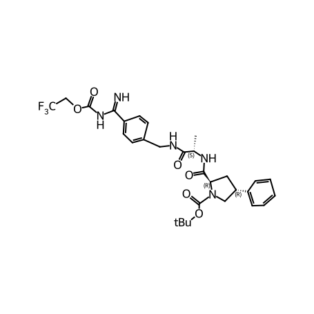 C[C@H](NC(=O)[C@H]1C[C@H](c2ccccc2)CN1C(=O)OC(C)(C)C)C(=O)NCc1ccc(C(=N)NC(=O)OCC(F)(F)F)cc1